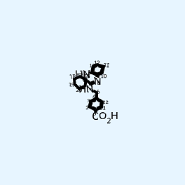 O=C(O)c1ccc(CNC2=Nc3ccccc3NC23CCCCC3)cc1